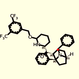 O=C([C@H]1CCCC(OCc2cc(C(F)(F)F)cc(C(F)(F)F)c2)N1)[C@@H]1CC[C@H]2CC[C@@]1(c1ccccc1)N2Cc1ccccc1